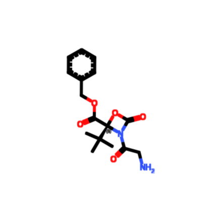 CC(C)(C)[C@@]1(C(=O)OCc2ccccc2)OC(=O)N1C(=O)CN